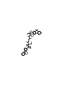 C/C=C1/Oc2cc3c(cc2O/C1=C(C)\C(C)=C\C=C(C)\C(CI)=N\C(=N/C)c1ccc2c(c1)oc1ccccc12)-c1ccccc1C3(C)C